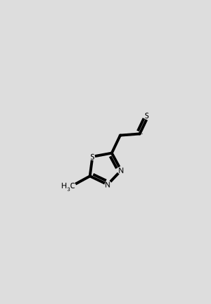 Cc1nnc(C[C]=S)s1